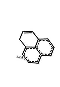 C1=Cc2cccc3cccc(c23)C1.[AsH3]